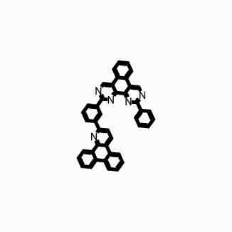 c1ccc(-c2ncc3c4ccccc4c4cnc(-c5cccc(-c6ccc7c8ccccc8c8ccccc8c7n6)c5)nc4c3n2)cc1